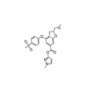 COCC1Cc2c(Oc3ccc(S(C)(=O)=O)cc3)cc(C(=O)Oc3ccn(C)n3)cc2O1